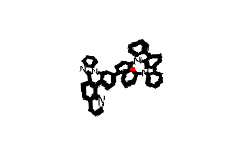 c1ccc(-n2c3ccccc3c3ccc4c5ccccc5n(-c5ccc(-c6ccc7c8c(ccc9cccnc98)c8nc9ccccc9n8c7c6)cc5)c4c32)cc1